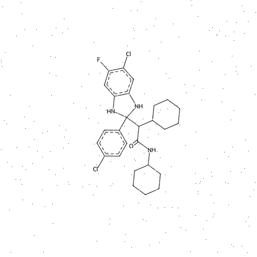 O=C(NC1CCCCC1)C(C1CCCCC1)C1(c2ccc(Cl)cc2)Nc2cc(F)c(Cl)cc2N1